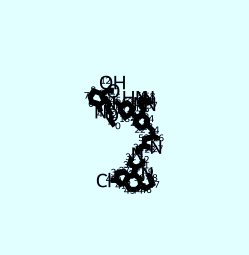 CCOc1nc2cccc(C(=O)O)c2n1Cc1ccc(-c2ccc(Cc3cncc(CN4CCC(=C5c6ccc(Cl)cc6CCc6cccnc65)CC4)c3)cc2-c2nn[nH]n2)cc1